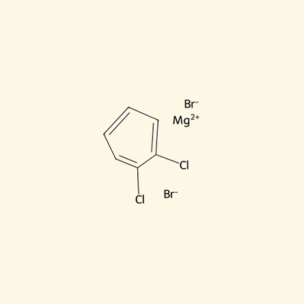 Clc1ccccc1Cl.[Br-].[Br-].[Mg+2]